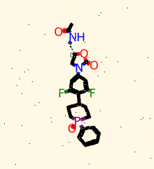 CC(=O)NC[C@H]1CN(c2cc(F)c(C3CCP(=O)(c4ccccc4)CC3)c(F)c2)C(=O)O1